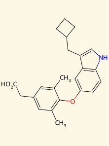 Cc1cc(CC(=O)O)cc(C)c1Oc1ccc2[nH]cc(CC3CCC3)c2c1